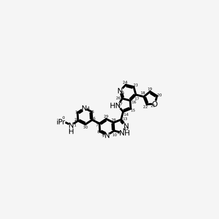 CC(C)Nc1cncc(-c2cnc3[nH]nc(-c4cc5c(-c6ccoc6)ccnc5[nH]4)c3c2)c1